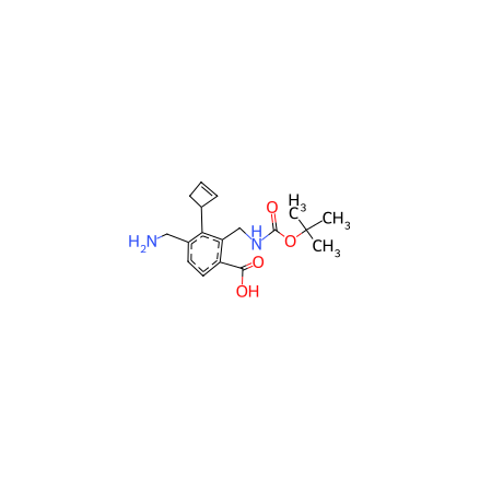 CC(C)(C)OC(=O)NCc1c(C(=O)O)ccc(CN)c1C1C=CC1